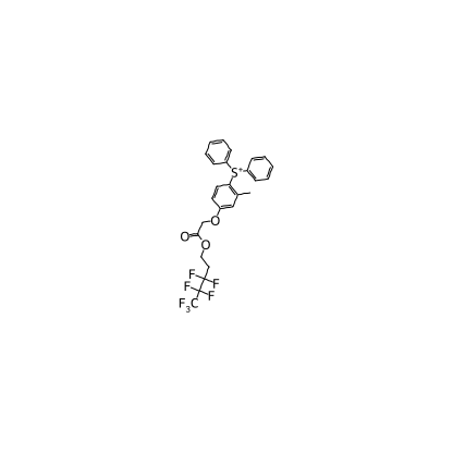 Cc1cc(OCC(=O)OCCC(F)(F)C(F)(F)C(F)(F)F)ccc1[S+](c1ccccc1)c1ccccc1